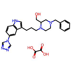 O=C(O)C(=O)O.OCC1CN(Cc2ccccc2)CCN1CCCc1c[nH]c2ccc(-n3cnnc3)cc12